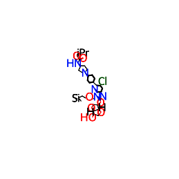 CC(C)OC(=O)NC1CCN(c2ccc(-c3nc4c(cc3Cl)nc(O[C@@H]3CO[C@H]5[C@@H]3OC[C@H]5O)n4COCC[Si](C)(C)C)cc2)CC1